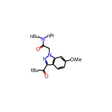 CCCCN(CCC)C(=O)Cn1nc(C(=O)C(C)(C)C)c2ccc(OC)cc21